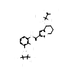 COC(=O)C(C)(C)N[C@@H]1CCCn2nc(C(=O)Nc3cccc(B4OC(C)(C)C(C)(C)O4)c3C)cc21